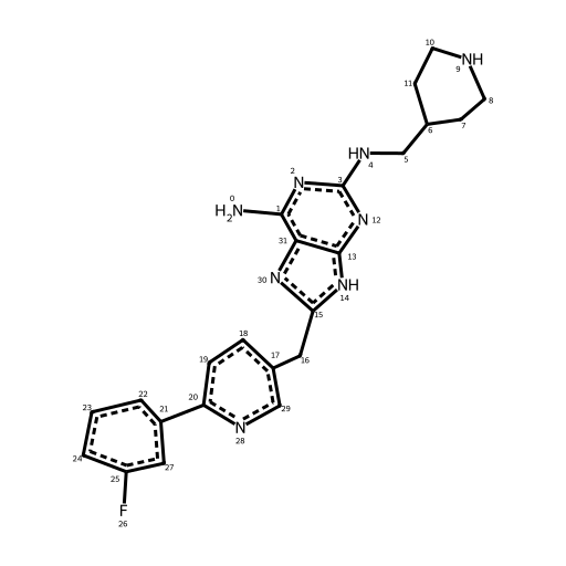 Nc1nc(NCC2CCNCC2)nc2[nH]c(Cc3ccc(-c4cccc(F)c4)nc3)nc12